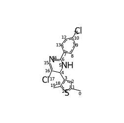 Cc1cc(C2NC(c3ccc(Cl)cc3)=NC=C2Cl)c(C)s1